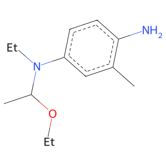 CCOC(C)N(CC)c1ccc(N)c(C)c1